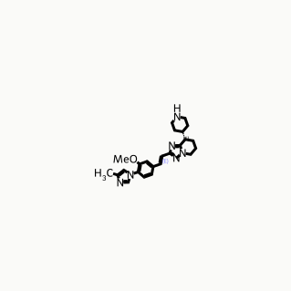 COc1cc(/C=C/c2nc3n(n2)CCC[C@H]3C2CCNCC2)ccc1-n1cnc(C)c1